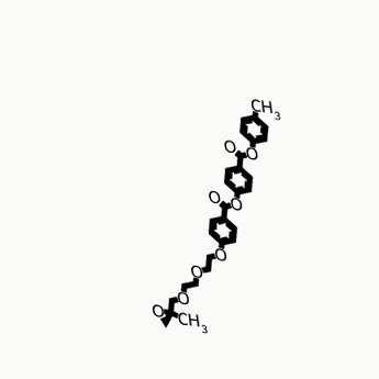 Cc1ccc(OC(=O)c2ccc(OC(=O)c3ccc(OCCOCCOCC4(C)CO4)cc3)cc2)cc1